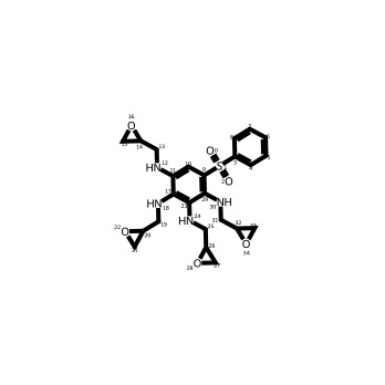 O=S(=O)(c1ccccc1)c1cc(NCC2CO2)c(NCC2CO2)c(NCC2CO2)c1NCC1CO1